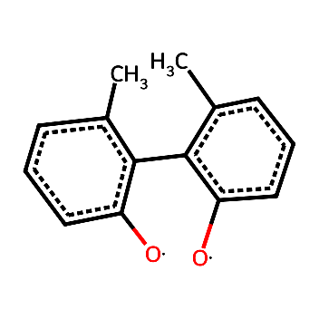 Cc1cccc([O])c1-c1c(C)cccc1[O]